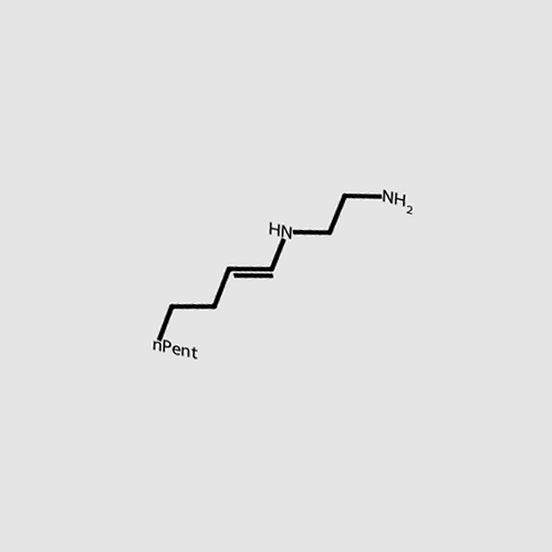 CCCCCCCC=CNCCN